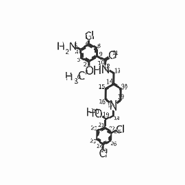 COc1cc(N)c(Cl)cc1C(=O)NCC1CCN(CC(O)c2ccc(Cl)cc2Cl)CC1